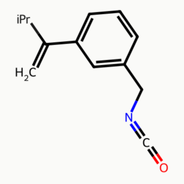 C=C(c1cccc(CN=C=O)c1)C(C)C